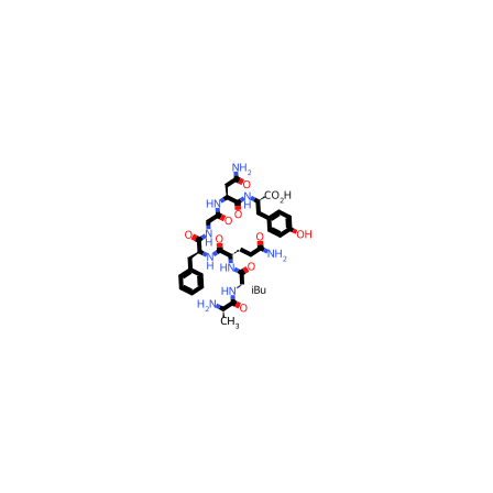 CC[C@H](C)[C@H](NC(=O)[C@H](C)N)C(=O)N[C@@H](CCC(N)=O)C(=O)N[C@@H](Cc1ccccc1)C(=O)NCC(=O)N[C@@H](CC(N)=O)C(=O)N[C@@H](Cc1ccc(O)cc1)C(=O)O